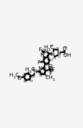 COc1ccc(CN(C)c2cc(C)c(C(F)(F)F)c(-c3c(Cl)cc4c(N5CCN(C(=O)O)C[C@@H]5C)nc(F)nc4c3F)n2)cc1